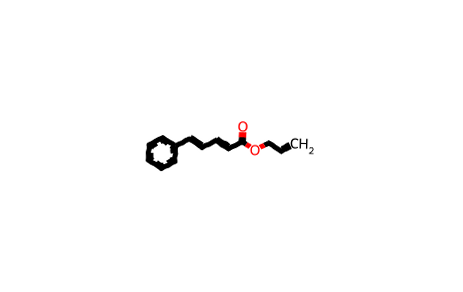 C=CCOC(=O)C=CC=Cc1ccccc1